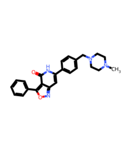 CN1CCN(Cc2ccc(-c3cc4noc(-c5ccccc5)c4c(=O)[nH]3)cc2)CC1